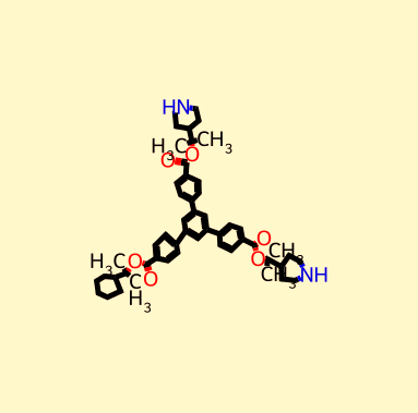 CC(C)(OC(=O)c1ccc(-c2cc(-c3ccc(C(=O)OC(C)(C)C4CCNCC4)cc3)cc(-c3ccc(C(=O)OC(C)(C)C4CCNCC4)cc3)c2)cc1)C1CCCCC1